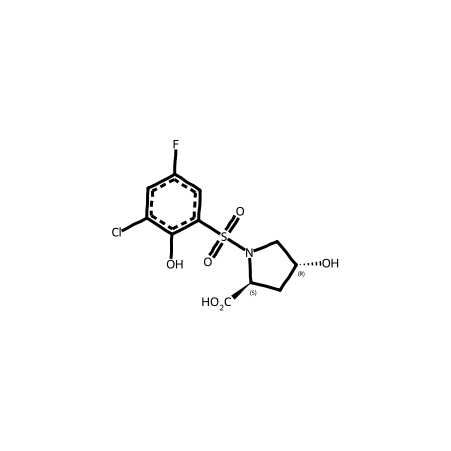 O=C(O)[C@@H]1C[C@@H](O)CN1S(=O)(=O)c1cc(F)cc(Cl)c1O